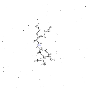 COCCN(CCOC)C(=O)/C=C/c1ccc(OC)c(C(F)F)c1